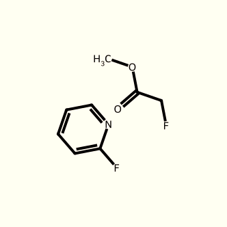 COC(=O)CF.Fc1ccccn1